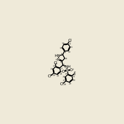 O=S(=O)(NC(C1=NNC(c2ccc(Cl)cc2)C1)c1ccc(Cl)cc1Cl)c1cc(Cl)ccc1F